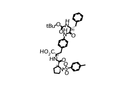 Cc1ccc(S(=O)(=O)N2CCC[C@H]2C(=O)N[C@@H](Cc2ccc(NC(=O)[C@@H](Cc3ccccc3)NC(=O)OC(C)(C)C)cc2)C(=O)O)cc1